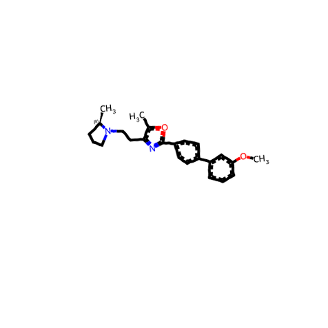 COc1cccc(-c2ccc(-c3nc(CCN4CCC[C@H]4C)c(C)o3)cc2)c1